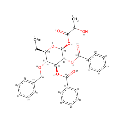 CC(=O)OC[C@H]1O[C@@H](OC(=O)C(C)O)[C@H](OC(=O)c2ccccc2)[C@@H](OC(=O)c2ccccc2)[C@@H]1OCc1ccccc1